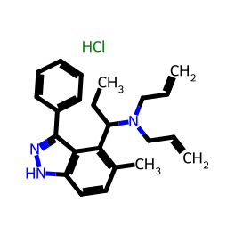 C=CCN(CC=C)C(CC)c1c(C)ccc2[nH]nc(-c3ccccc3)c12.Cl